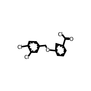 O=C(Cl)c1cccc(OCc2ccc(Cl)c(Cl)c2)c1